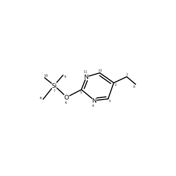 CCc1cnc(O[Si](C)(C)C)nc1